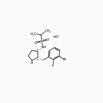 CN(C)S(=O)(=O)N[C@H]1CCN[C@H]1Cc1cccc(Br)c1F.Cl